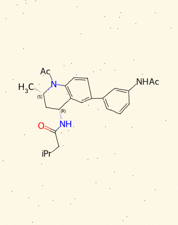 CC(=O)Nc1cccc(-c2ccc3c(c2)[C@H](NC(=O)CC(C)C)C[C@H](C)N3C(C)=O)c1